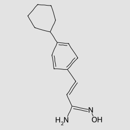 NC(C=Cc1ccc(C2CCCCC2)cc1)=NO